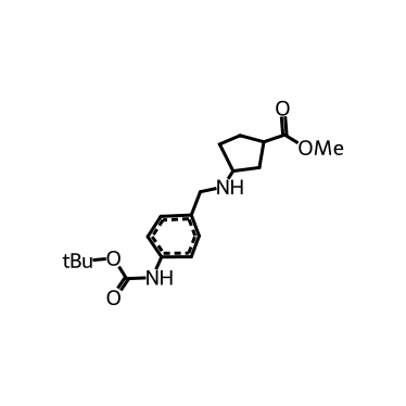 COC(=O)C1CCC(NCc2ccc(NC(=O)OC(C)(C)C)cc2)C1